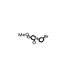 COOc1ccn(-c2cccc(Br)c2)c(=O)c1